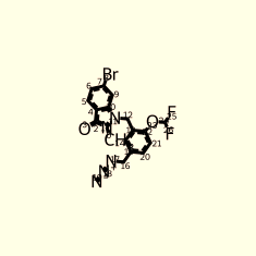 Cn1c(=O)c2ccc(Br)cc2n1Cc1cc(CN=[N+]=[N-])ccc1OC(F)F